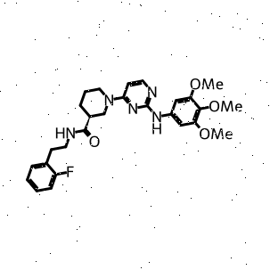 COc1cc(Nc2nccc(N3CCC[C@H](C(=O)NCCc4ccccc4F)C3)n2)cc(OC)c1OC